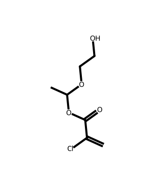 C=C(Cl)C(=O)OC(C)OCCO